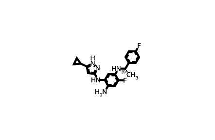 C[C@H](Nc1cc(Nc2cc(C3CC3)[nH]n2)c(N)cc1F)c1ccc(F)cc1